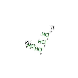 Cl.Cl.Cl.Cl.[KH].[Ti]